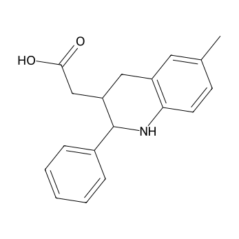 Cc1ccc2c(c1)CC(CC(=O)O)C(c1ccccc1)N2